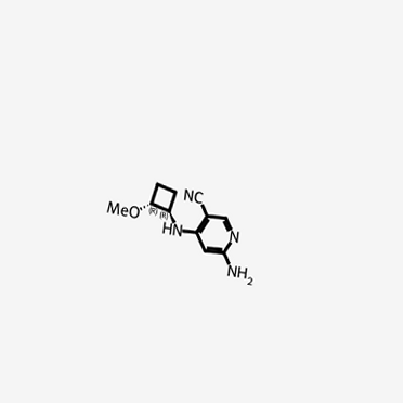 CO[C@@H]1CC[C@H]1Nc1cc(N)ncc1C#N